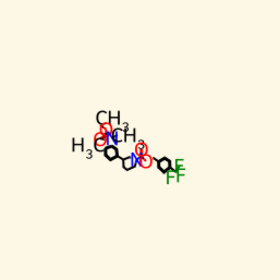 CCOC(=O)N(C)c1cc(C2CCCN(C(=O)OCc3ccc(C(F)(F)F)cc3)C2)ccc1C